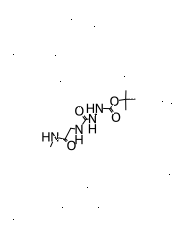 CNC(=O)CNC(=O)NNC(=O)OC(C)(C)C